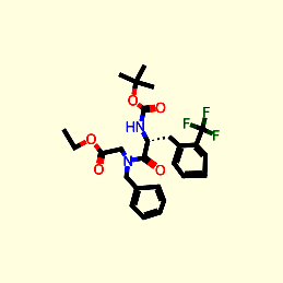 CCOC(=O)CN(Cc1ccccc1)C(=O)[C@@H](Cc1ccccc1C(F)(F)F)NC(=O)OC(C)(C)C